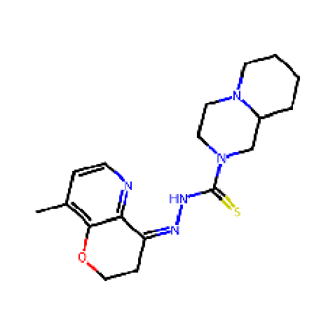 Cc1ccnc2c1OCC/C2=N/NC(=S)N1CCN2CCCCC2C1